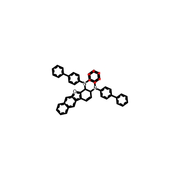 C1=CC(N(c2ccccc2)c2ccc(-c3ccccc3)cc2)C(N(c2ccccc2)c2ccc(-c3ccccc3)cc2)c2oc3cc4ccccc4cc3c21